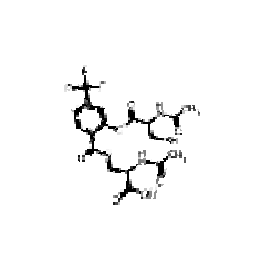 CC(=O)NC(CSC(=O)c1ccc(C(F)(F)F)cc1OC(=O)C(CS)NC(C)=O)C(=O)O